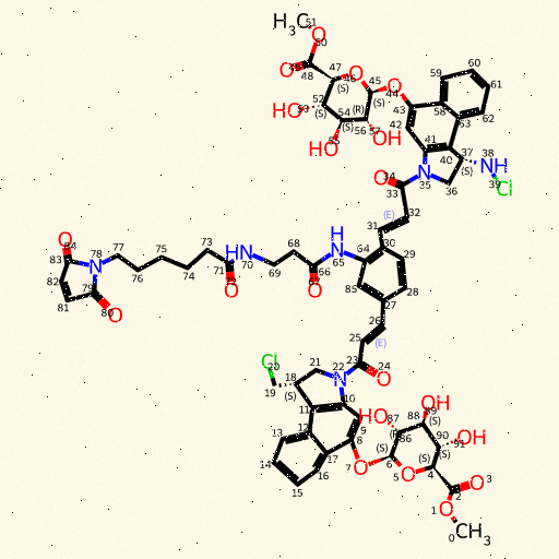 COC(=O)[C@H]1O[C@@H](Oc2cc3c(c4ccccc24)[C@H](CCl)CN3C(=O)/C=C/c2ccc(/C=C/C(=O)N3C[C@@H](NCl)c4c3cc(O[C@@H]3O[C@H](C(=O)OC)[C@@H](O)[C@H](O)[C@H]3O)c3ccccc43)c(NC(=O)CCNC(=O)CCCCCN3C(=O)C=CC3=O)c2)[C@H](O)[C@@H](O)[C@@H]1O